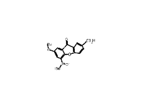 CCC(C)Oc1cc([S+]([O-])C(C)CC)c2oc3ccc(C(=O)O)cc3c(=O)c2c1